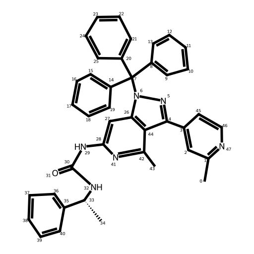 Cc1cc(-c2nn(C(c3ccccc3)(c3ccccc3)c3ccccc3)c3cc(NC(=O)N[C@H](C)c4ccccc4)nc(C)c23)ccn1